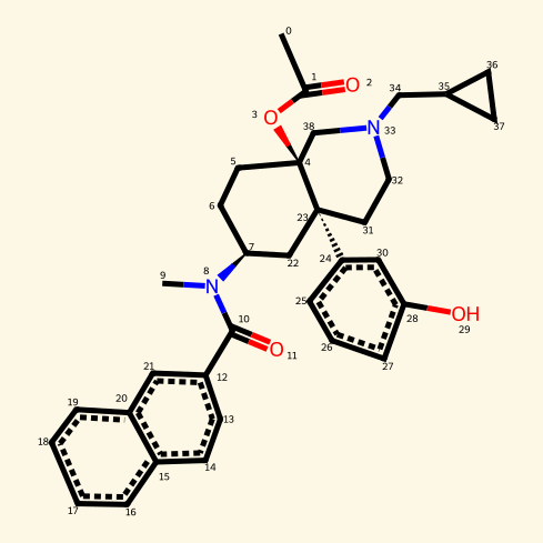 CC(=O)O[C@]12CC[C@H](N(C)C(=O)c3ccc4ccccc4c3)C[C@]1(c1cccc(O)c1)CCN(CC1CC1)C2